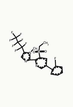 CCS(=O)(=O)c1cc(-c2ccccc2F)cnc1-c1ncc(C(F)(F)C(F)(F)C(F)(F)F)n1C